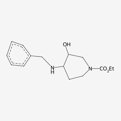 CCOC(=O)N1CCC(NCc2ccccc2)C(O)C1